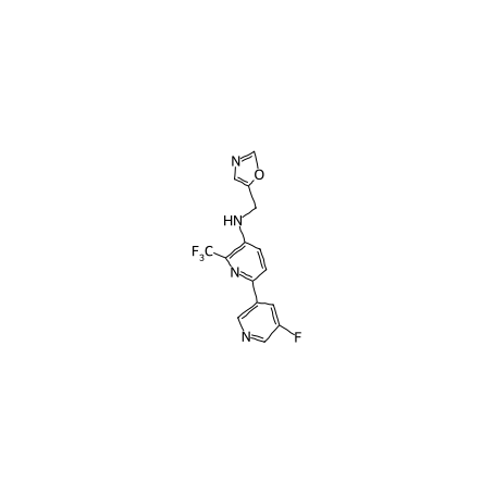 Fc1cncc(-c2ccc(NCc3cnco3)c(C(F)(F)F)n2)c1